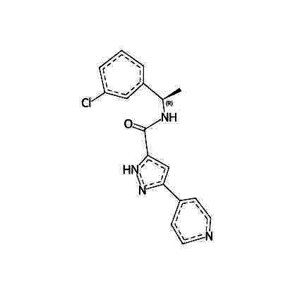 C[C@@H](NC(=O)c1cc(-c2ccncc2)n[nH]1)c1cccc(Cl)c1